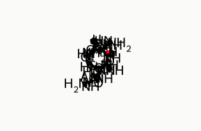 CC(=O)N1C[C@H](CC(=O)N[C@H]2CC(=O)NCCCC[C@@H](C(N)=O)NC(=O)[C@H](Cc3c[nH]c4ccccc34)NC(=O)[C@H](CCCNC(=N)N)NC(=O)C(c3ccccc3)NC(=O)[C@H](Cc3c[nH]cn3)NC2=O)NC(=O)[C@@H]1CCCNC(=N)N